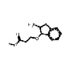 COC(=O)CCOC1c2ccccc2CC1N